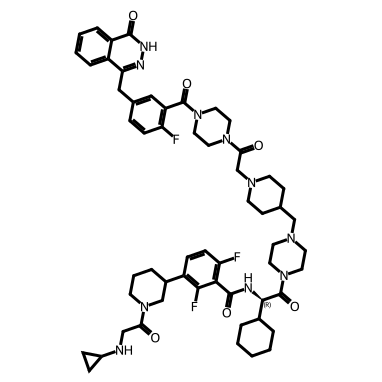 O=C(N[C@@H](C(=O)N1CCN(CC2CCN(CC(=O)N3CCN(C(=O)c4cc(Cc5n[nH]c(=O)c6ccccc56)ccc4F)CC3)CC2)CC1)C1CCCCC1)c1c(F)ccc(C2CCCN(C(=O)CNC3CC3)C2)c1F